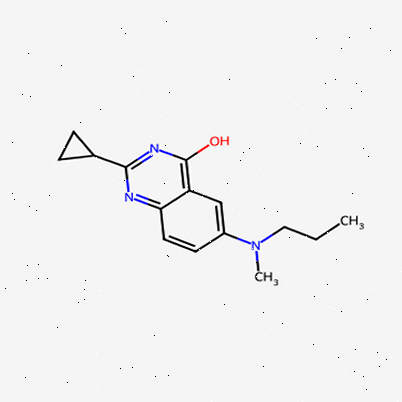 CCCN(C)c1ccc2nc(C3CC3)nc(O)c2c1